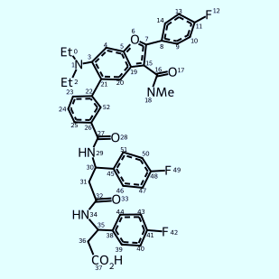 CCN(CC)c1cc2oc(-c3ccc(F)cc3)c(C(=O)NC)c2cc1-c1cccc(C(=O)NC(CC(=O)NC(CC(=O)O)c2ccc(F)cc2)c2ccc(F)cc2)c1